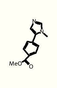 COC(=O)c1ccc(-c2cncn2C)cc1